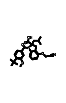 COc1cc(C(=O)N2c3cccc(OCC#N)c3CC2(CC(C)C)C(=O)O)ccc1C(C)(C)C